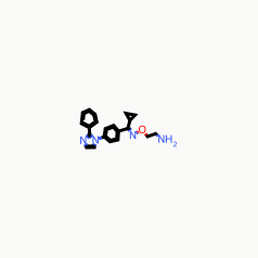 NCCO/N=C(/c1ccc(-n2ccnc2-c2ccccc2)cc1)C1CC1